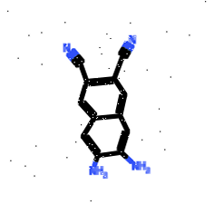 N#Cc1cc2cc(N)c(N)cc2cc1C#N